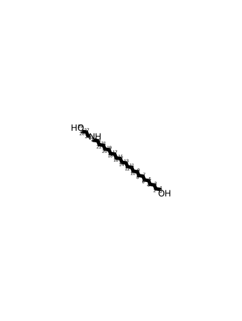 OCCCCCCCCCCCCCCCCCCCCCCCCNCCCO